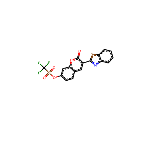 O=c1oc2cc(OS(=O)(=O)C(F)(F)F)ccc2cc1-c1nc2ccccc2s1